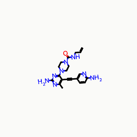 C=CCNC(=O)N1CCN(c2nc(N)nc(C)c2C#Cc2ccc(N)nc2)CC1